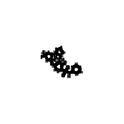 Cn1nccc1[C@H]1CC(F)(F)C[C@@]1(C)Oc1ccc(S(=O)(=O)Nc2ccncn2)c(F)c1